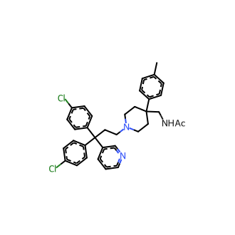 CC(=O)NCC1(c2ccc(C)cc2)CCN(CCC(c2ccc(Cl)cc2)(c2ccc(Cl)cc2)c2cccnc2)CC1